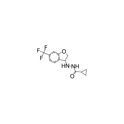 O=C(NNC1COc2cc(C(F)(F)F)ccc21)C1CC1